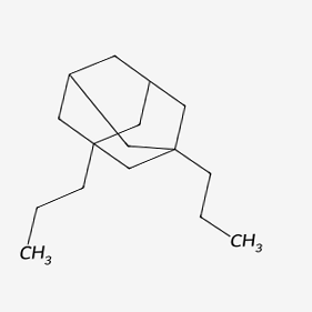 CCCC12CC3CC(C1)CC(CCC)(C3)C2